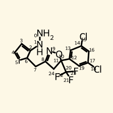 NNC1=CC=IC1CC1=NOC(c2cc(Cl)cc(Cl)c2)(C(F)(F)F)C1